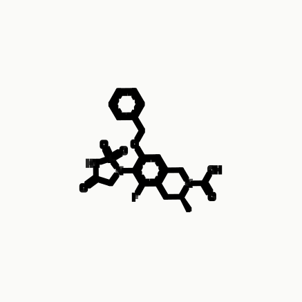 C[C@H]1Cc2c(cc(OCc3ccccc3)c(N3CC(=O)NS3(=O)=O)c2F)CN1C(=O)O